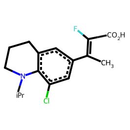 CC(=C(F)C(=O)O)c1cc(Cl)c2c(c1)CCCN2C(C)C